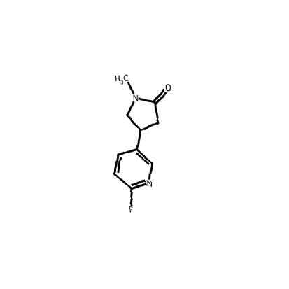 CN1CC(c2ccc(F)nc2)CC1=O